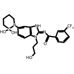 O=C(N=c1[nH]c2cc(N3CCCCS3(O)O)ccc2n1CCCO)c1cccc(C(F)(F)F)c1